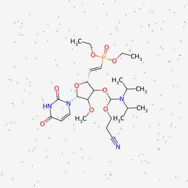 CCOP(=O)(/C=C/[C@H]1O[C@@H](n2ccc(=O)[nH]c2=O)C(OC)C1OC(OCCC#N)N(C(C)C)C(C)C)OCC